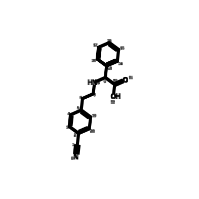 N#Cc1ccc(CCNC(C(=O)O)c2ccccc2)cc1